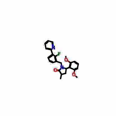 COc1cccc(OC)c1C1CC(C)C(=O)N1Cc1cccc(-c2ccccn2)c1F